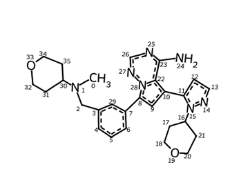 CN(Cc1cccc(-c2cc(-c3ccnn3C3CCOCC3)c3c(N)ncnn23)c1)C1CCOCC1